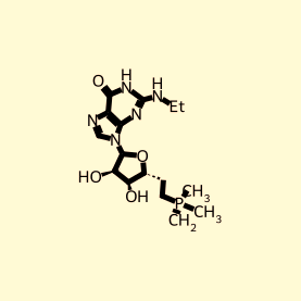 C=P(C)(C)CC[C@H]1OC(n2cnc3c(=O)[nH]c(NCC)nc32)[C@H](O)[C@@H]1O